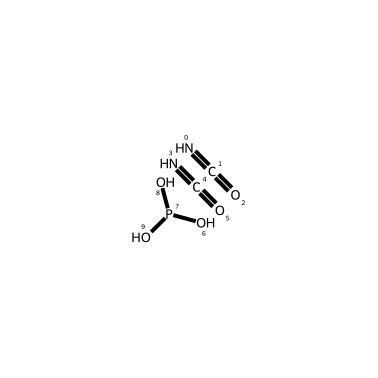 N=C=O.N=C=O.OP(O)O